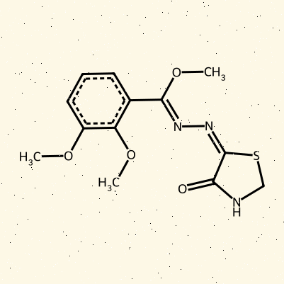 COC(=NN=C1SCNC1=O)c1cccc(OC)c1OC